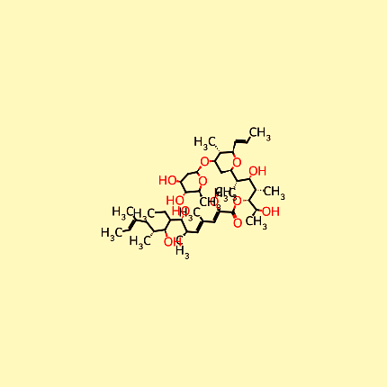 C/C=C/[C@H]1O[C@@H]([C@@H](C)[C@H](O)[C@H](C)[C@@H](OC(=O)/C(=C/C(C)=C/[C@@H](C)[C@@H](O)C(CC)[C@@H](O)[C@H](C)C/C(C)=C/C)OC)[C@H](C)O)C[C@@H](O[C@@H]2C[C@H](O)[C@@H](O)[C@H](C)O2)[C@@H]1C